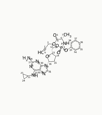 C#CCOC(=O)[C@H](C)N[P@](=O)(OC[C@@H]1CC[C@H](n2cnc3c(NC4CC4)nc(N)nc32)O1)Oc1ccccc1